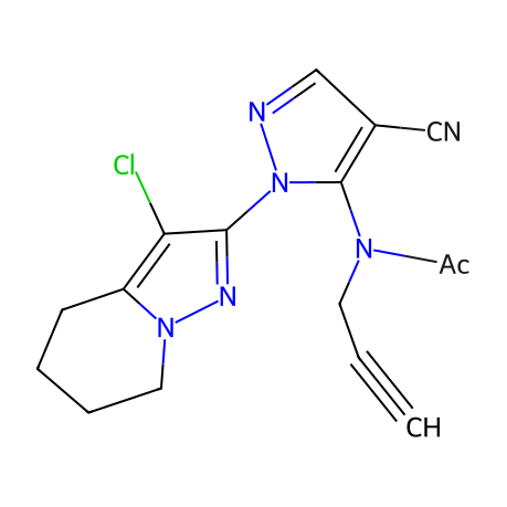 C#CCN(C(C)=O)c1c(C#N)cnn1-c1nn2c(c1Cl)CCCC2